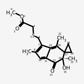 COC(=O)CSCC1=C(C)C=C2C(=O)[C@](C)(O)C3(CC3)C(C)=C21